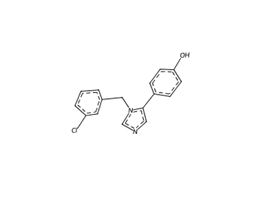 Oc1ccc(-c2cncn2Cc2cccc(Cl)c2)cc1